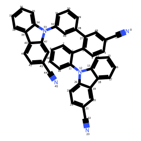 N#Cc1ccc(-c2ccccc2-n2c3ccccc3c3cc(C#N)ccc32)c(-c2cccc(-n3c4ccccc4c4ccc(C#N)cc43)c2)c1